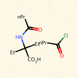 CCCC(=O)Cl.CCCC(=O)NC(CC)(CC)C(=O)O